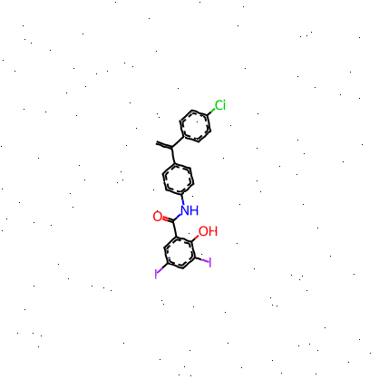 C=C(c1ccc(Cl)cc1)c1ccc(NC(=O)c2cc(I)cc(I)c2O)cc1